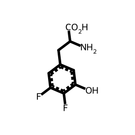 NC(Cc1cc(O)c(F)c(F)c1)C(=O)O